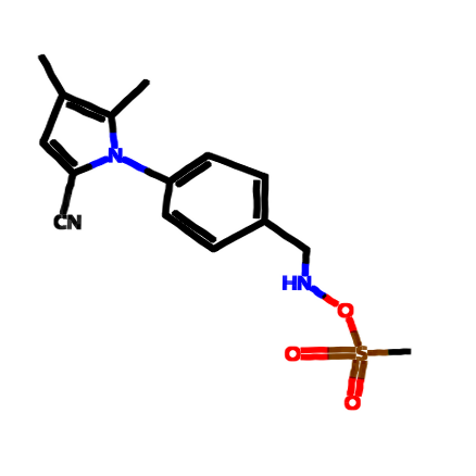 Cc1cc(C#N)n(-c2ccc(CNOS(C)(=O)=O)cc2)c1C